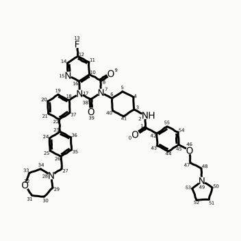 O=C(NC1CCC(n2c(=O)c3cc(F)cnc3n(-c3cccc(-c4ccc(CN5CCCOCC5)cc4)c3)c2=O)CC1)c1ccc(OCCN2CCCC2)cc1